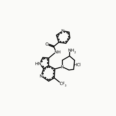 Cl.NC1CCCN(c2c(C(F)(F)F)cnc3[nH]cc(NC(=O)c4cccnc4)c23)C1